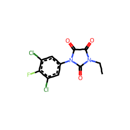 CCN1C(=O)C(=O)N(c2cc(Cl)c(F)c(Cl)c2)C1=O